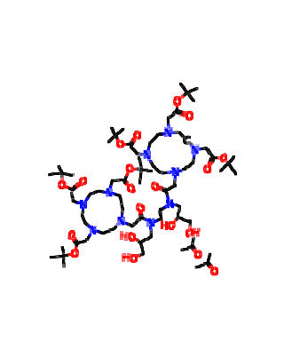 CC(C)(C)OC(=O)CN1CCN(CC(=O)OC(C)(C)C)CCN(CC(=O)N(CCN(CC(O)CO)C(=O)CN2CCN(CC(=O)OC(C)(C)C)CCN(CC(=O)OC(C)(C)C)CCN(CC(=O)OC(C)(C)C)CC2)CC(O)CO)CCN(CC(=O)OC(C)(C)C)CC1.CC(C)=O.CC(C)=O